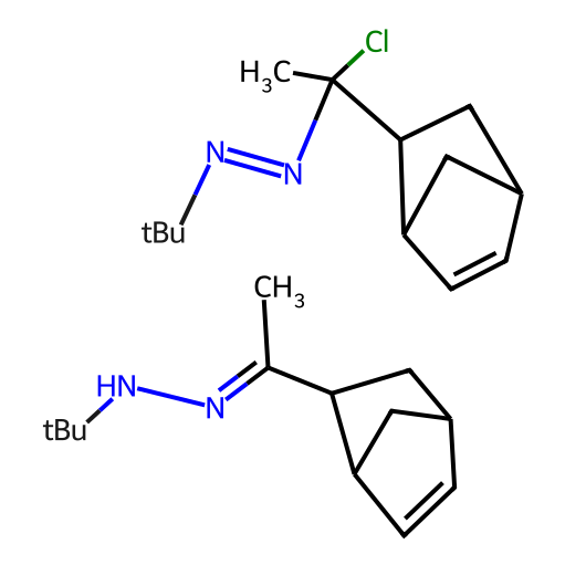 CC(=NNC(C)(C)C)C1CC2C=CC1C2.CC(C)(C)N=NC(C)(Cl)C1CC2C=CC1C2